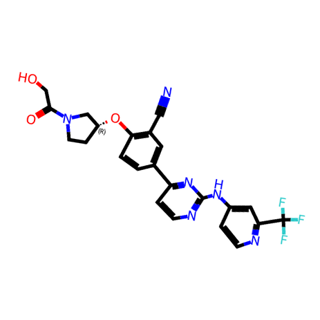 N#Cc1cc(-c2ccnc(Nc3ccnc(C(F)(F)F)c3)n2)ccc1O[C@@H]1CCN(C(=O)CO)C1